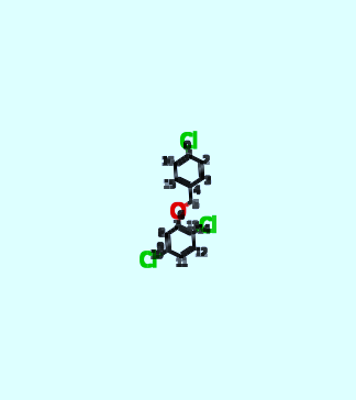 Clc1ccc(COc2cc(Cl)ccc2Cl)cc1